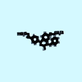 CCOC(=O)COc1ccc(C(CC(C)NCc2ccccc2)c2ccc(OCC(=O)OCC)cc2)cc1